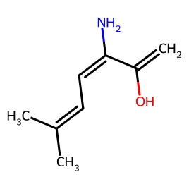 C=C(O)/C(N)=C\C=C(C)C